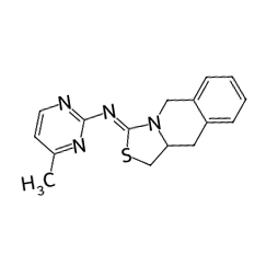 Cc1ccnc(N=C2SCC3Cc4ccccc4CN23)n1